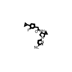 N#Cc1ccc(N2C[C@@H](NC(=O)Cc3ccc(C4CC4)c(F)c3)C3(CC3)C2)nn1